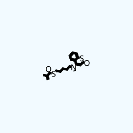 C=C(C)C(=O)SCCCCCN(C)c1cc(=O)sc2ccccc12